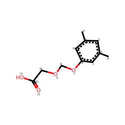 Cc1cc(C)cc(OCOCC(=O)O)c1